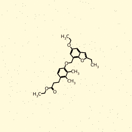 CCOC(=O)CCc1ccc(OCc2cc(OCC)cc3cc(CC)oc23)c(C)c1C